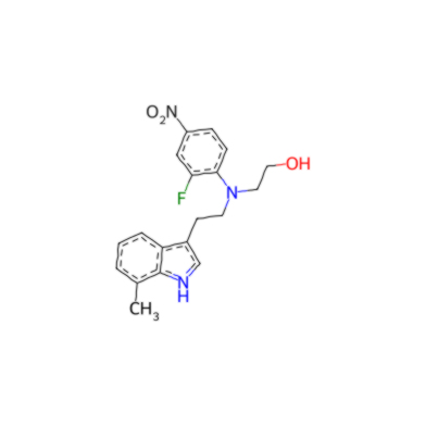 Cc1cccc2c(CCN(CCO)c3ccc([N+](=O)[O-])cc3F)c[nH]c12